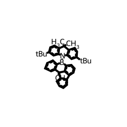 CC(C)(C)c1ccc2c(c1)N(B1c3ccccc3C3(C)c4ccccc4-c4cccc1c43)c1cc(C(C)(C)C)ccc1C2(C)C